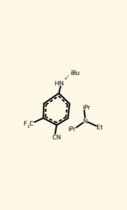 CCN(C(C)C)C(C)C.CC[C@@H](C)Nc1ccc(C#N)c(C(F)(F)F)c1